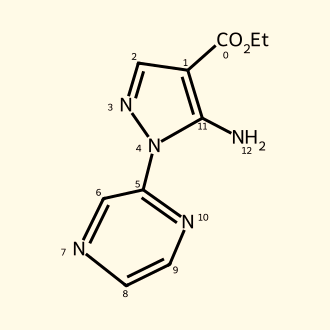 CCOC(=O)c1cnn(-c2cnccn2)c1N